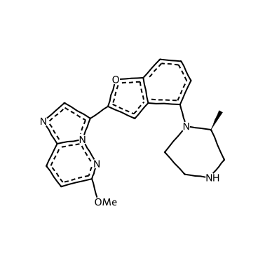 COc1ccc2ncc(-c3cc4c(N5CCNC[C@@H]5C)cccc4o3)n2n1